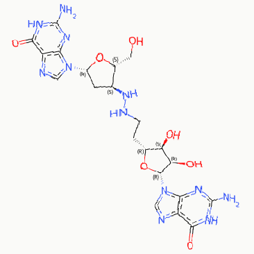 Nc1nc2c(ncn2[C@@H]2O[C@H](CCNN[C@H]3C[C@H](n4cnc5c(=O)[nH]c(N)nc54)O[C@@H]3CO)[C@@H](O)[C@H]2O)c(=O)[nH]1